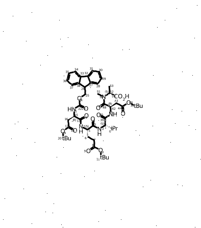 CC(C)[C@H](NC(=O)[C@H](CCC(=O)OC(C)(C)C)NC(=O)[C@@H](CC(=O)OC(C)(C)C)NC(=O)OCC1c2ccccc2-c2ccccc21)C(=O)N[C@H](CC(=O)OC(C)(C)C)C(=O)N(C)[C@@H](C)C(=O)O